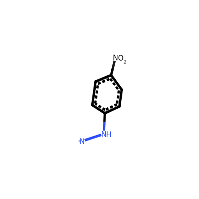 [N]Nc1ccc([N+](=O)[O-])cc1